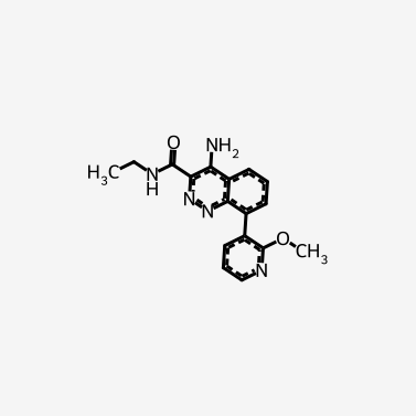 CCNC(=O)c1nnc2c(-c3cccnc3OC)cccc2c1N